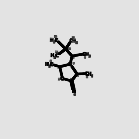 CC1OC(=O)C(C)N1C(C)C(C)(C)C